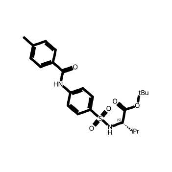 Cc1ccc(C(=O)Nc2ccc(S(=O)(=O)N[C@H](C(=O)OC(C)(C)C)C(C)C)cc2)cc1